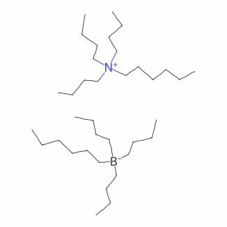 CCCCCC[B-](CCCC)(CCCC)CCCC.CCCCCC[N+](CCCC)(CCCC)CCCC